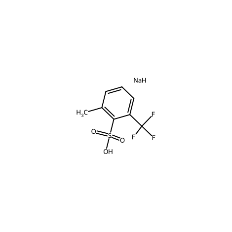 Cc1cccc(C(F)(F)F)c1S(=O)(=O)O.[NaH]